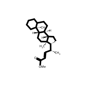 COC(=O)C=C[C@@H](C)[C@H]1CC[C@H]2[C@@H]3CCC4CCCC[C@]4(C)[C@H]3CC[C@]12C